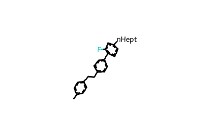 CCCCCCCc1ccc(-c2ccc(CCc3ccc(C)cc3)cc2)c(F)c1